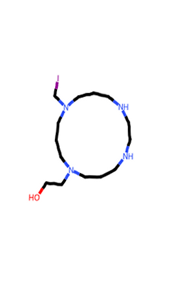 OCCN1CCCNCCNCCCN(CI)CCC1